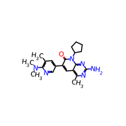 Cc1cc(-c2cc3c(C)nc(N)nc3n(C3CCCC3)c2=O)cnc1N(C)C